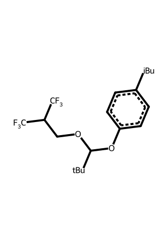 CCC(C)c1ccc(OC(OCC(C(F)(F)F)C(F)(F)F)C(C)(C)C)cc1